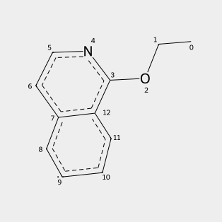 CCOc1nccc2c[c]ccc12